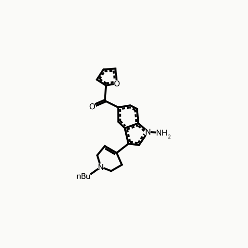 CCCCN1CC=C(c2cn(N)c3ccc(C(=O)c4ccco4)cc23)CC1